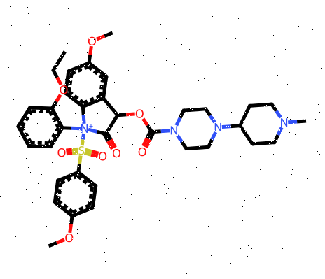 CCOc1ccccc1[N+]1(S(=O)(=O)c2ccc(OC)cc2)C(=O)C(OC(=O)N2CCN(C3CCN(C)CC3)CC2)c2cc(OC)ccc21